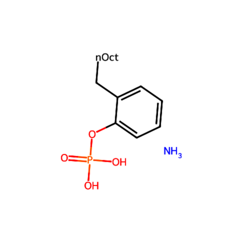 CCCCCCCCCc1ccccc1OP(=O)(O)O.N